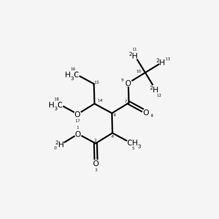 [2H]OC(=O)C(C)C(C(=O)OC([2H])([2H])[2H])C(CC)OC